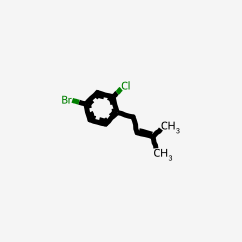 CC(C)=CCc1ccc(Br)cc1Cl